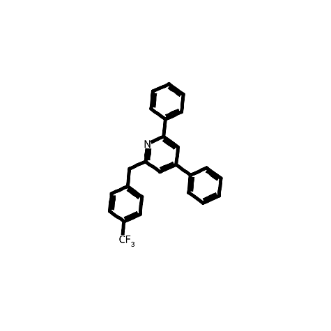 FC(F)(F)c1ccc(Cc2cc(-c3ccccc3)cc(-c3ccccc3)n2)cc1